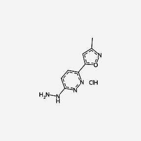 Cc1cc(-c2ccc(NN)nn2)on1.Cl